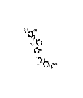 Cc1c(-c2nc3cc(CO)cc(C#N)c3o2)cccc1-c1cccc(NC(=O)c2nc3c(n2C)CCN(C(=O)OC(C)(C)C)C3)c1Cl